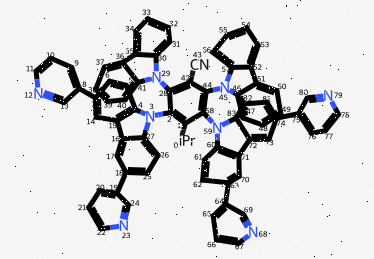 CC(C)c1c(-n2c3ccc(-c4cccnc4)cc3c3cc(-c4cccnc4)ccc32)c(-n2c3ccccc3c3ccccc32)c(C#N)c(-n2c3ccccc3c3ccccc32)c1-n1c2ccc(-c3cccnc3)cc2c2cc(-c3cccnc3)ccc21